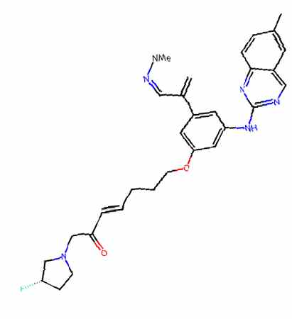 C=C(/C=N\NC)c1cc(Nc2ncc3cc(C)ccc3n2)cc(OCCC/C=C/C(=O)CN2CC[C@H](F)C2)c1